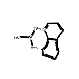 NP(O)O.c1ccc2ncccc2c1